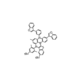 Cc1cc2c3c(c1)N(c1c(C)cc(C(C)(C)C)cc1C)c1c(sc4ccc(C(C)(C)C)cc14)B3c1ccc(-c3coc4ccccc34)cc1N2c1cccc(-c2coc3ccccc23)c1